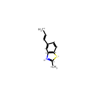 [CH2]/C=C/c1ccc2sc(C)nc2c1